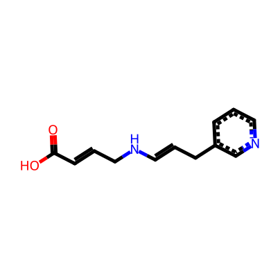 O=C(O)C=CCNC=CCc1cccnc1